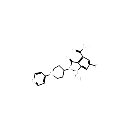 Cn1c2cc(F)cc(C(N)=O)c2c(=O)n1C1CCN(c2ccncc2)CC1